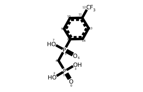 O=P(O)(O)CP(=O)(O)c1ccc(C(F)(F)F)cc1